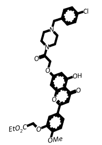 CCOC(=O)COc1cc(-c2cc(=O)c3c(O)cc(OCC(=O)N4CCN(Cc5ccc(Cl)cc5)CC4)cc3o2)ccc1OC